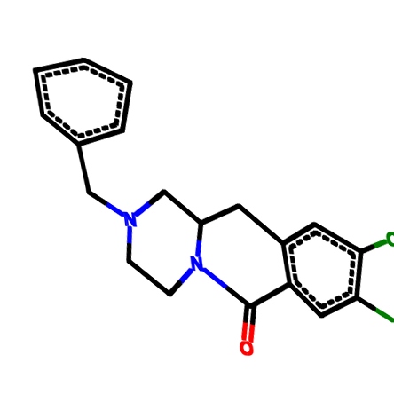 O=C1c2cc(Cl)c(Cl)cc2CC2CN(Cc3ccccc3)CCN12